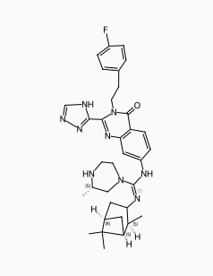 C[C@@H]1C(/N=C(/Nc2ccc3c(=O)n(CCc4ccc(F)cc4)c(-c4nnc[nH]4)nc3c2)N2CCN[C@@H](C)C2)C[C@H]2C[C@@H]1C2(C)C